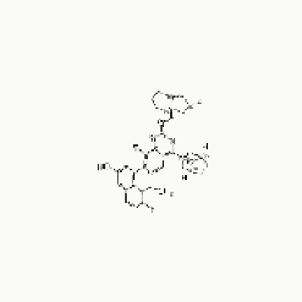 CCc1c(F)ccc2cc(O)cc(-c3ccc4c(N5C[C@H]6CC[C@@H](C5)S6(=O)=O)nc(OC[C@@]56CCCN5C[C@H](F)C6)nc4c3F)c12